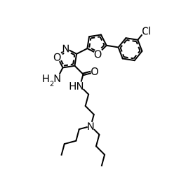 CCCCN(CCCC)CCCNC(=O)c1c(-c2ccc(-c3cccc(Cl)c3)o2)noc1N